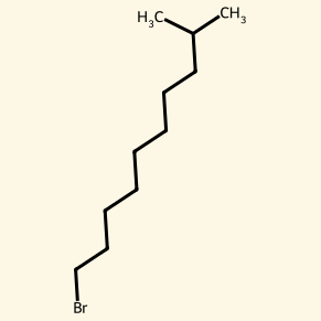 CC(C)CCCCCCCCBr